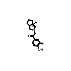 O=C(CN1CC2CCC[C@@H]2C1)c1ccc(O)c(F)c1